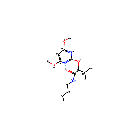 CCCCNC(=O)C(Oc1nc(OC)cc(OC)n1)C(C)C